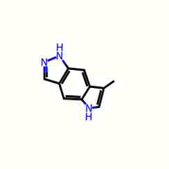 Cc1c[nH]c2cc3cn[nH]c3cc12